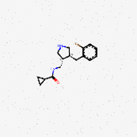 O=C(NC[C@@H]1CNC[C@H]1Cc1ccccc1Br)C1CC1